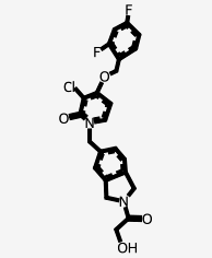 O=C(CO)N1Cc2ccc(Cn3ccc(OCc4ccc(F)cc4F)c(Cl)c3=O)cc2C1